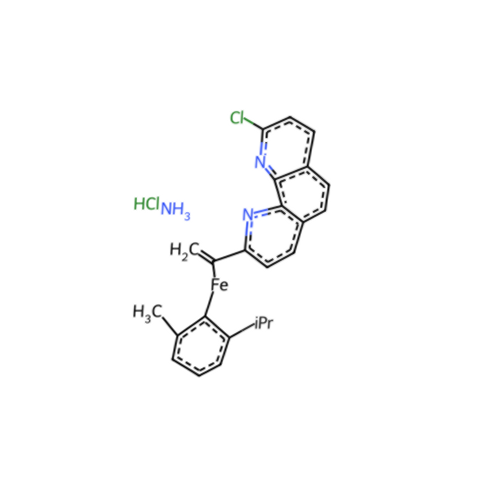 C=[C]([Fe][c]1c(C)cccc1C(C)C)c1ccc2ccc3ccc(Cl)nc3c2n1.Cl.N